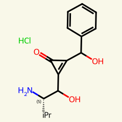 CC(C)[C@H](N)C(O)c1c(C(O)c2ccccc2)c1=O.Cl